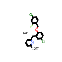 O=C([O-])c1cccc(Cc2cc(Cl)ccc2OCc2ccc(Cl)cc2F)n1.[Na+]